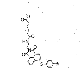 COC(=O)CCCCC(=O)NCCN1C(=O)c2cccc3c(Sc4ccc(Br)cc4)ccc(c23)C1=O